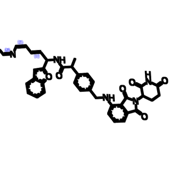 C\C=N/C=C\C=C\C(NC(=O)C(C)c1ccc(CNc2cccc3c2C(=O)N(C2CCC(=O)NC2=O)C3=O)cc1)c1cc2ccccc2o1